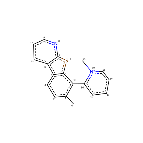 Cc1ccc2c(sc3ncccc32)c1-c1cccc[n+]1C